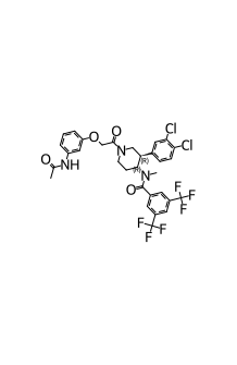 CC(=O)Nc1cccc(OCC(=O)N2CC[C@@H](N(C)C(=O)c3cc(C(F)(F)F)cc(C(F)(F)F)c3)[C@H](c3ccc(Cl)c(Cl)c3)C2)c1